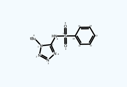 CC(C)(C)n1nnnc1NS(=O)(=O)c1ccccc1